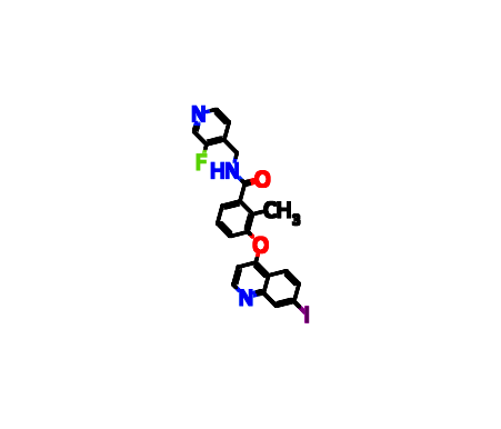 Cc1c(Oc2ccnc3cc(I)ccc23)cccc1C(=O)NCc1ccncc1F